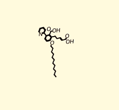 CCCCCCCCCCCCOc1ccc(-c2ccccn2)c(C(=O)O)c1CCC=CC(=O)O